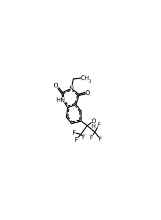 CCn1c(=O)[nH]c2ccc(C(O)(C(F)(F)F)C(F)(F)F)cc2c1=O